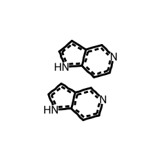 c1cc2[nH]ccc2cn1.c1cc2[nH]ccc2cn1